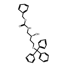 O=C(NC[C@@H](O)CCOC(c1ccccc1)(c1ccccc1)c1ccccc1)OCc1ccccc1